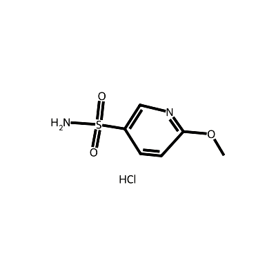 COc1ccc(S(N)(=O)=O)cn1.Cl